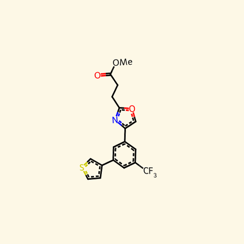 COC(=O)CCc1nc(-c2cc(-c3ccsc3)cc(C(F)(F)F)c2)co1